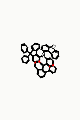 c1ccc(-c2cccc3cccc(-c4ccccc4N(c4cccc5c4-c4ccccc4C5(c4ccccc4)c4ccccc4)c4cccc5oc6ccccc6c45)c23)cc1